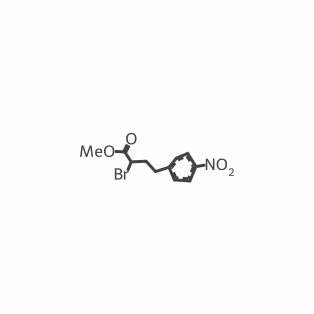 COC(=O)C(Br)CCc1ccc([N+](=O)[O-])cc1